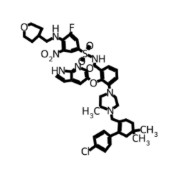 CC1CN(c2cccc(C(=O)NS(=O)(=O)c3cc(F)c(NCC4CCOCC4)c([N+](=O)[O-])c3)c2Oc2cnc3[nH]ccc3c2)CCN1CC1=C(c2ccc(Cl)cc2)CC(C)(C)CC1